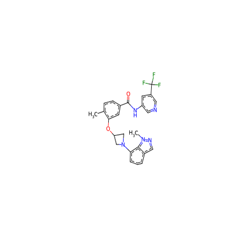 Cc1ccc(C(=O)Nc2cncc(C(F)(F)F)c2)cc1OC1CN(c2cccc3cnn(C)c23)C1